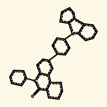 O=c1c2ccccc2c2cc(-c3ccc(-n4c5ccccc5c5ccccc54)cc3)ccc2n1-c1ccccc1